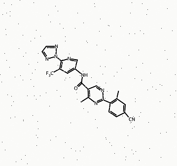 Cc1cc(C#N)ccc1-c1ncc(C(=O)Nc2cnc(-n3nccn3)c(C(F)(F)F)c2)c(C)n1